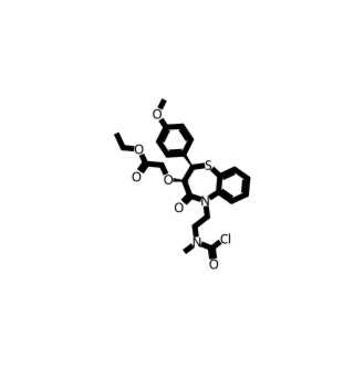 CCOC(=O)CO[C@@H]1C(=O)N(CCN(C)C(=O)Cl)c2ccccc2S[C@@H]1c1ccc(OC)cc1